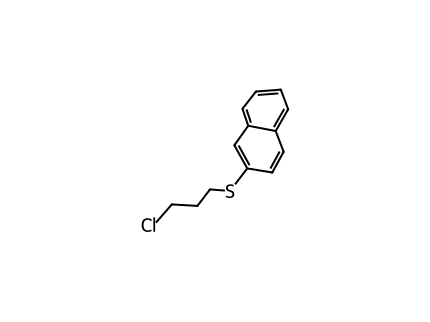 ClCCCSc1ccc2ccccc2c1